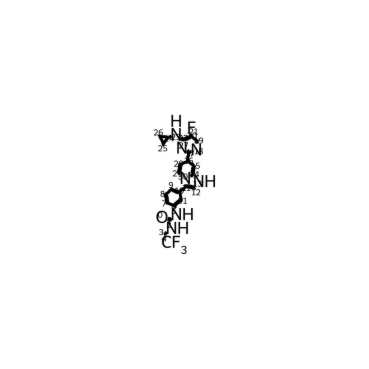 O=C(NCC(F)(F)F)Nc1cccc(C2=CNC3=CC(c4ncc(F)c(NC5CC5)n4)C=CN32)c1